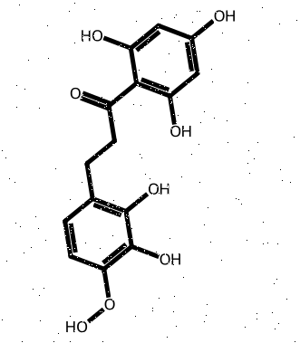 O=C(CCc1ccc(OO)c(O)c1O)c1c(O)cc(O)cc1O